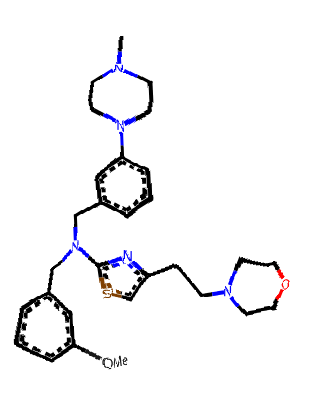 COc1cccc(CN(Cc2cccc(N3CCN(C)CC3)c2)c2nc(CCN3CCOCC3)cs2)c1